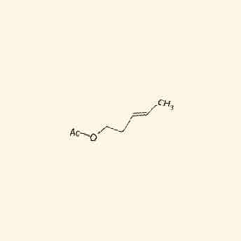 C/C=C/CCOC(C)=O